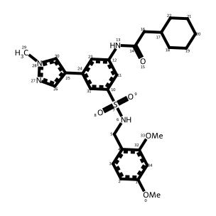 COc1ccc(CNS(=O)(=O)c2cc(NC(=O)CC3CCCCC3)cc(-c3cnn(C)c3)c2)c(OC)c1